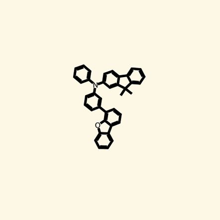 CC1(C)c2ccccc2-c2ccc(N(c3ccccc3)c3cccc(-c4cccc5c4oc4ccccc45)c3)cc21